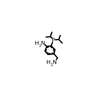 CC(C)P(c1cc(CN)ccc1N)C(C)C